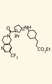 CCOC(=O)CCC1CCC(N[C@@H]2CC[C@@](C(=O)N3CCc4ncc(C(F)(F)F)cc4C3)(C(C)C)C2)CC1